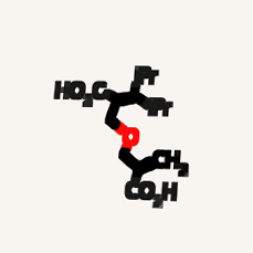 C=C(COCC(C(=O)O)=C(C(C)C)C(C)C)C(=O)O